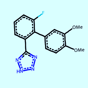 COc1ccc(-c2c(F)cccc2-c2nn[nH]n2)cc1OC